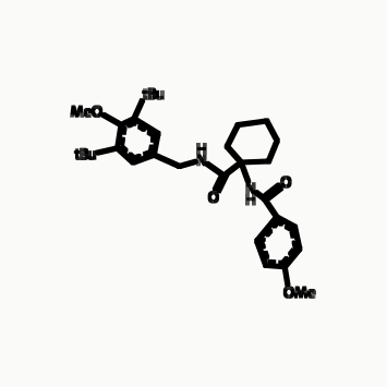 COc1ccc(C(=O)NC2(C(=O)NCc3cc(C(C)(C)C)c(OC)c(C(C)(C)C)c3)CCCCC2)cc1